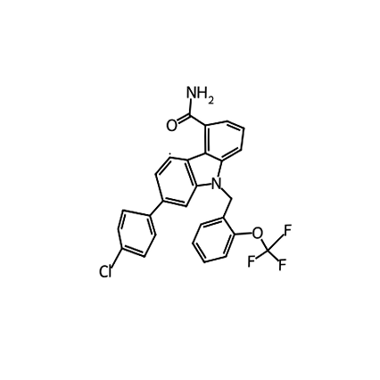 NC(=O)c1cccc2c1c1[c]cc(-c3ccc(Cl)cc3)cc1n2Cc1ccccc1OC(F)(F)F